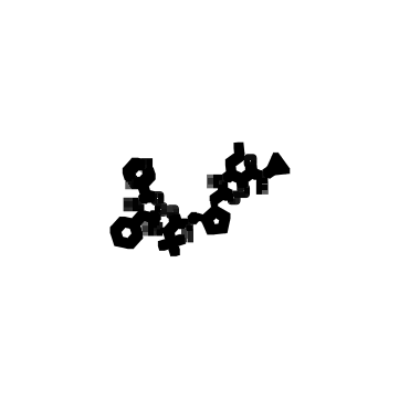 CCCC(NC(=O)C[C@H]1CCC[C@H]1CNC(=O)[C@@H](NC(=O)[C@@H](NC(=O)c1cnccn1)C1CCCCC1)C(C)(C)C)C(=O)C(=O)NC1CC1